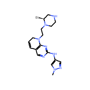 CC[C@H]1CNCCN1CCN1CC=Cc2cnc(Nc3cnn(C)c3)nc21